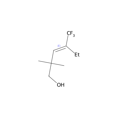 CC/C(=C\C(C)(C)CO)C(F)(F)F